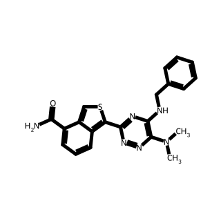 CN(C)c1nnc(-c2scc3c(C(N)=O)cccc23)nc1NCc1ccccc1